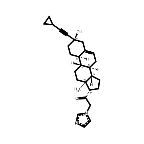 C[C@]12CC[C@H]3[C@@H](CC=C4C[C@@](O)(C#CC5CC5)CC[C@@H]43)[C@@H]1CC[C@@H]2C(=O)Cn1ccnc1